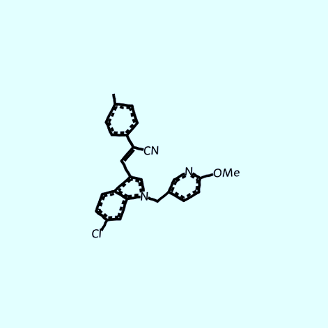 COc1ccc(Cn2cc(/C=C(\C#N)c3ccc(C)cc3)c3ccc(Cl)cc32)cn1